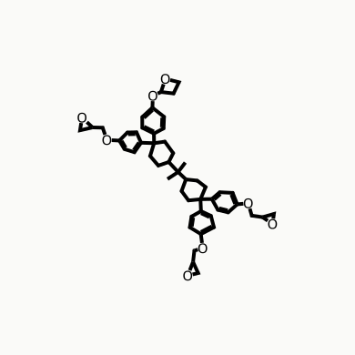 CC(C)(C1CCC(c2ccc(OCC3CO3)cc2)(c2ccc(OCC3CO3)cc2)CC1)C1CCC(c2ccc(OCC3CO3)cc2)(c2ccc(OC3CCO3)cc2)CC1